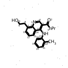 CCCC(=O)c1cnc2c(CCO)cccc2c1Nc1ccccc1C